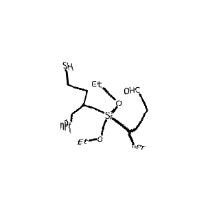 CCCC(CC=O)[Si](OCC)(OCC)C(CCC)CCS